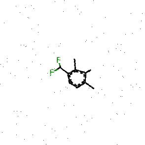 Cc1ccc(C(F)F)c(C)c1C